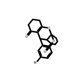 O=C1CCCC2=C1C1c3cc(Br)ccc3OC3(CCCC(=O)C13)O2